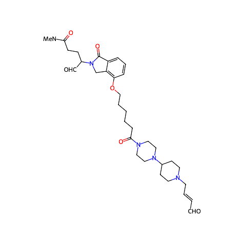 CNC(=O)CCC(C=O)N1Cc2c(OCCCCCC(=O)N3CCN(C4CCN(C/C=C/C=O)CC4)CC3)cccc2C1=O